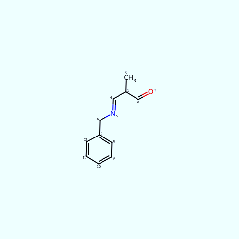 CC(C=O)C=NCc1ccccc1